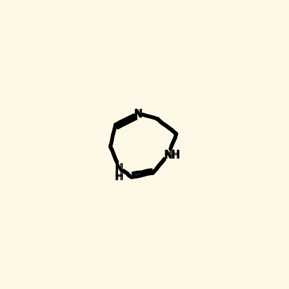 C1=CNCCN=CCN1